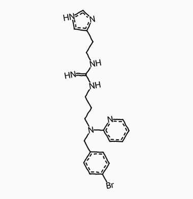 N=C(NCCCN(Cc1ccc(Br)cc1)c1ccccn1)NCCc1c[nH]cn1